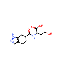 O=C(NC(CCO)C(=O)O)C1CCc2cn[nH]c2C1